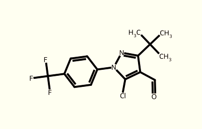 CC(C)(C)c1nn(-c2ccc(C(F)(F)F)cc2)c(Cl)c1C=O